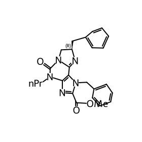 CCCN1C(=O)N2C[C@@H](Cc3ccccc3)N=C2c2c1nc(C(=O)OC)n2Cc1ccccc1